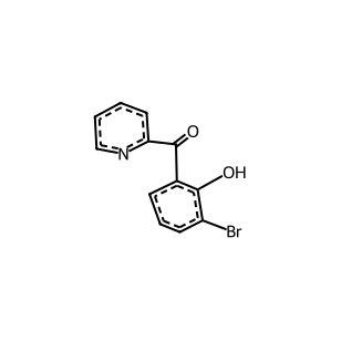 O=C(c1ccccn1)c1cccc(Br)c1O